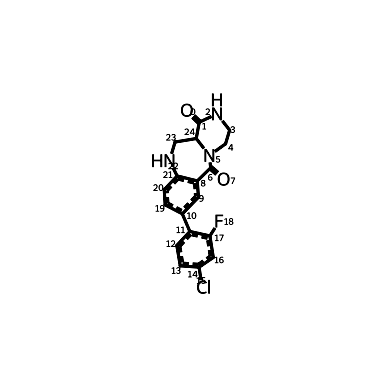 O=C1NCCN2C(=O)c3cc(-c4ccc(Cl)cc4F)ccc3NCC12